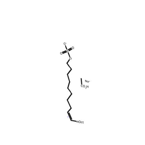 CC(=O)O.CCCCCCCC/C=C\CCCCCCCCOS(=O)(=O)[O-].[Na+]